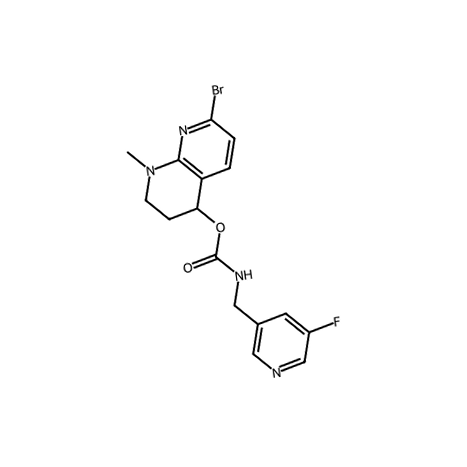 CN1CCC(OC(=O)NCc2cncc(F)c2)c2ccc(Br)nc21